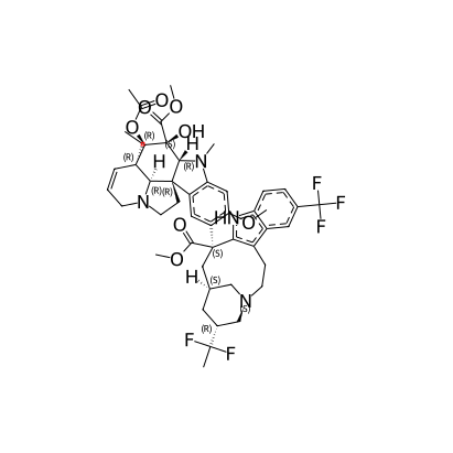 CC[C@]12C=CCN3CC[C@@]4(c5cc([C@@]6(C(=O)OC)C[C@@H]7C[C@@H](C(C)(F)F)C[N@](CCc8c6[nH]c6ccc(C(F)(F)F)cc86)C7)c(OC)cc5N(C)[C@H]4[C@@](O)(C(=O)OC)[C@@H]1OC(C)=O)[C@@H]32